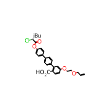 C=CCOCCOc1ccc(C(=O)O)c(-c2ccc(-c3ccc(OC(=O)[C@@H](Cl)[C@@H](C)CC)cc3)cc2)c1